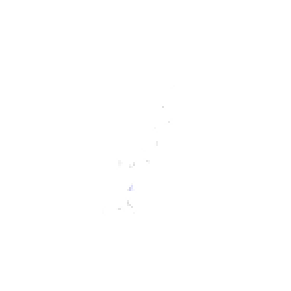 CCCCCCCCCC(O)/C=C/C(=O)O